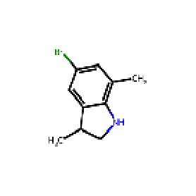 Cc1cc(Br)cc2c1NCC2C